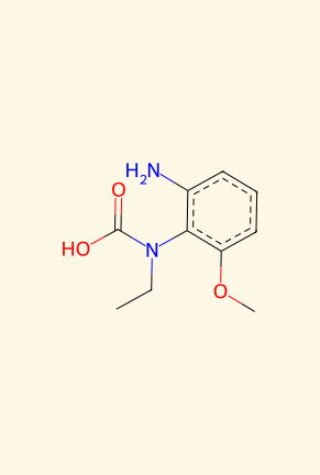 CCN(C(=O)O)c1c(N)cccc1OC